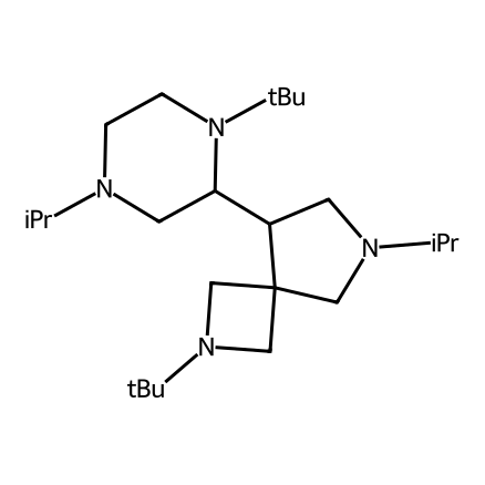 CC(C)N1CCN(C(C)(C)C)C(C2CN(C(C)C)CC23CN(C(C)(C)C)C3)C1